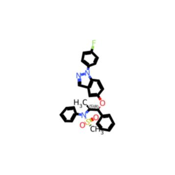 C[C@@H]([C@H](Oc1ccc2c(cnn2-c2ccc(F)cc2)c1)c1ccccc1)N(c1ccccc1)S(C)(=O)=O